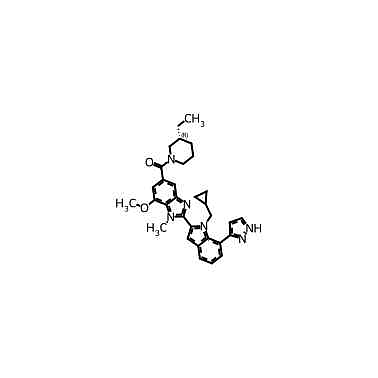 CC[C@@H]1CCCN(C(=O)c2cc(OC)c3c(c2)nc(-c2cc4cccc(-c5cc[nH]n5)c4n2CC2CC2)n3C)C1